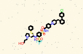 O=C(NS(=O)(=O)c1ccc(N[C@@H](CSc2ccccc2)C[C@@H]2CCCN2CCCO)c(S(=O)(=O)C(F)(F)F)c1)c1ccc(N2CCC(Cc3ccccc3-c3ccc(Cl)cc3)CC2)cc1